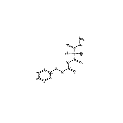 CCC(CC)(C(=O)ON)C(=O)OC(=O)OCc1ccccc1